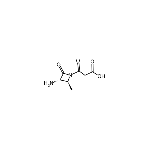 C[C@H]1[C@H](N)C(=O)N1C(=O)CC(=O)O